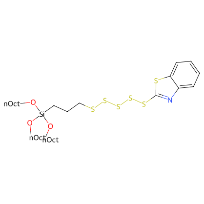 CCCCCCCCO[Si](CCCSSSSSc1nc2ccccc2s1)(OCCCCCCCC)OCCCCCCCC